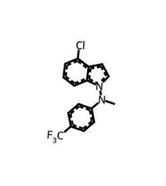 CN(c1ccc(C(F)(F)F)cc1)n1ccc2c(Cl)cccc21